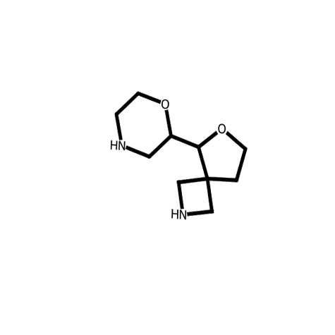 C1COC(C2OCCC23CNC3)CN1